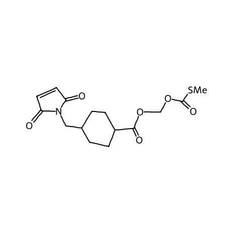 CSC(=O)OCOC(=O)C1CCC(CN2C(=O)C=CC2=O)CC1